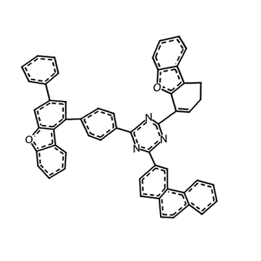 C1=C(c2nc(-c3ccc(-c4cc(-c5ccccc5)cc5oc6ccccc6c45)cc3)nc(-c3ccc4ccc5ccccc5c4c3)n2)c2oc3ccccc3c2CC1